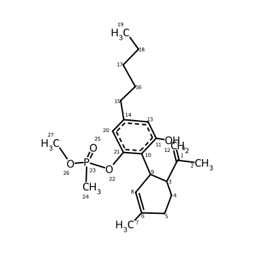 C=C(C)C1CCC(C)=CC1c1c(O)cc(CCCCC)cc1OP(C)(=O)OC